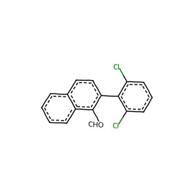 O=Cc1c(-c2c(Cl)cccc2Cl)ccc2ccccc12